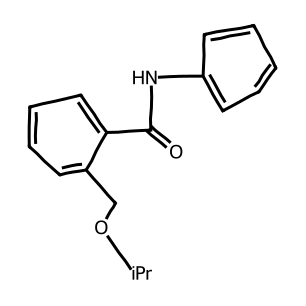 CC(C)OCc1ccccc1C(=O)Nc1ccccc1